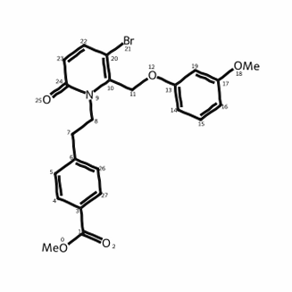 COC(=O)c1ccc(CCn2c(COc3cccc(OC)c3)c(Br)ccc2=O)cc1